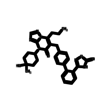 CCCc1c(Cc2ccc(-c3ccccc3-c3noc(=O)[nH]3)cc2)c(=O)n(C2CCC(C)(O)CC2)c2ncnn12